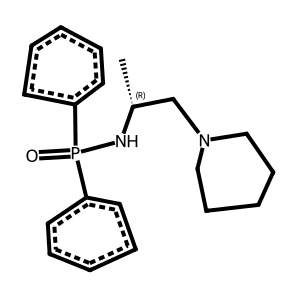 C[C@H](CN1CCCCC1)NP(=O)(c1ccccc1)c1ccccc1